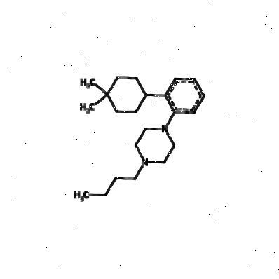 CCCCN1CCN(c2ccccc2C2CCC(C)(C)CC2)CC1